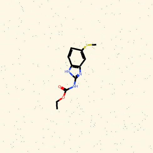 CCOC(=O)Nc1nc2cc(SC)ccc2[nH]1